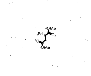 COC(=O)CCC(=O)OC.[Pd]